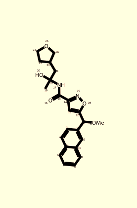 COC(c1ccc2ccccc2c1)c1cc(C(=O)NC(C)(O)CC2CCOC2)no1